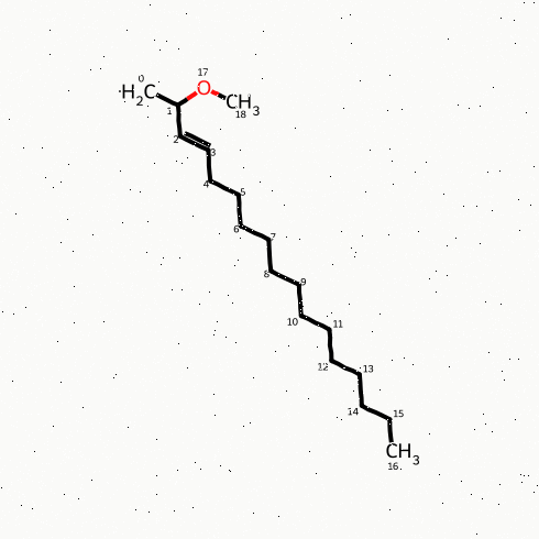 [CH2]C(C=CCCCCCCCCCCCCC)OC